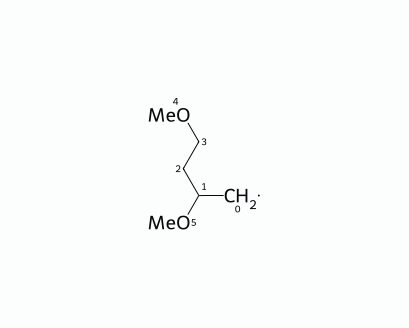 [CH2]C(CCOC)OC